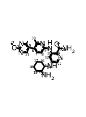 COc1ncc(-c2ccc(Nc3cc(N[C@@H]4CCCC[C@@H]4N)cnc3C(N)=O)nc2C)cn1